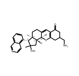 CC(=O)OC1(C)C[C@H]2[C@@H]3OC4=C(C=C3CC[C@]2(C)[C@H]1c1cccc2cnccc12)C(=O)CC(CN)C4